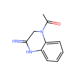 CC(=O)N1CC(=N)Nc2ccccc21